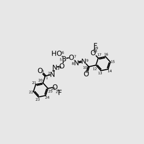 O=C(N=NOB(O)ON=NC(=O)c1ccccc1OF)c1ccccc1OF